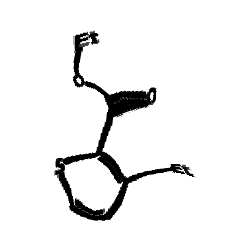 CCOC(=O)c1sccc1CC